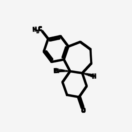 CC[C@@]12CCC(=O)C[C@@H]1CCCc1cc(C)ccc12